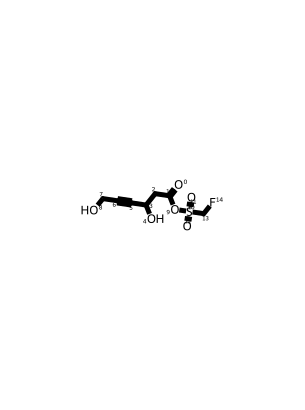 O=C(CC(O)C#CCO)OS(=O)(=O)CF